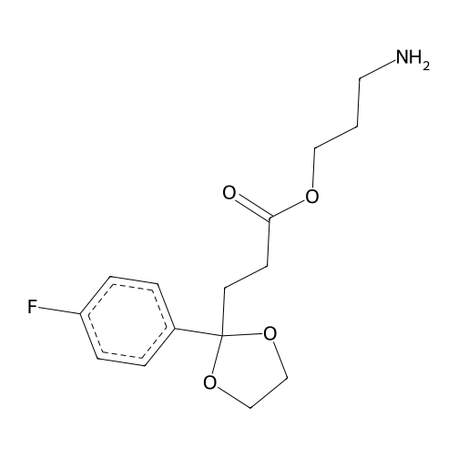 NCCCOC(=O)CCC1(c2ccc(F)cc2)OCCO1